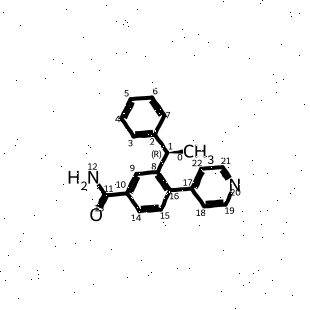 C[C@H](c1ccccc1)c1cc(C(N)=O)ccc1-c1ccncc1